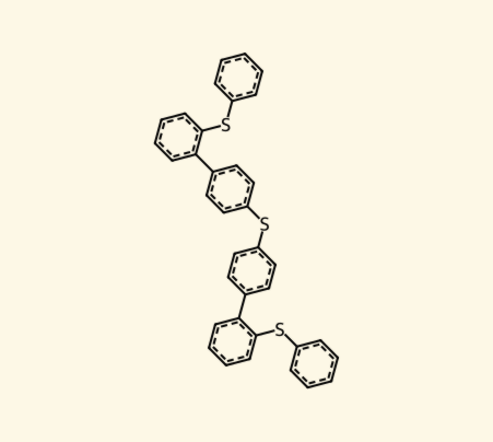 c1ccc(Sc2ccccc2-c2ccc(Sc3ccc(-c4ccccc4Sc4ccccc4)cc3)cc2)cc1